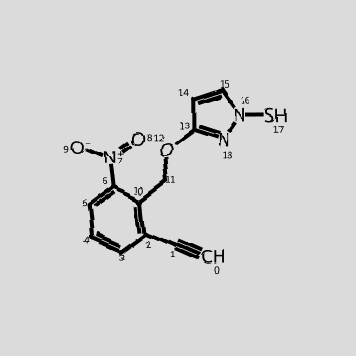 C#Cc1cccc([N+](=O)[O-])c1COc1ccn(S)n1